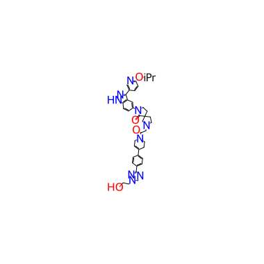 CC(C)Oc1ccc(-c2n[nH]c3ccc(N4CCC5(CCN(CC(=O)N6CC=C(c7ccc(-c8ncn(CCO)n8)cc7)CC6)C5)C4=O)cc23)cn1